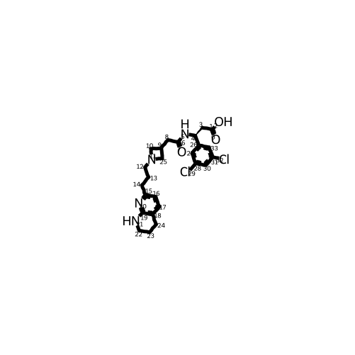 O=C(O)C[C@H](NC(=O)CC1CN(CCCc2ccc3c(n2)NCCC3)C1)c1cc(Cl)cc(Cl)c1